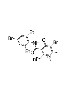 CCCc1c(C(=O)Nc2c(CC)cc(Br)cc2CC)c(=O)c(Br)c(C)n1C